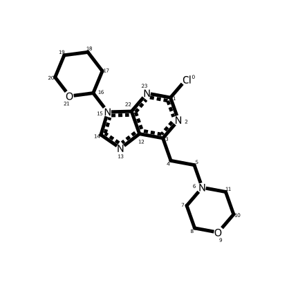 Clc1nc(CCN2CCOCC2)c2ncn(C3CCCCO3)c2n1